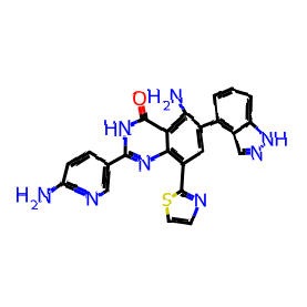 Nc1ccc(-c2nc3c(-c4nccs4)cc(-c4cccc5[nH]ncc45)c(N)c3c(=O)[nH]2)cn1